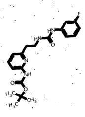 CC(C)(C)OC(=O)Nc1cccc(CCNC(=O)Nc2cccc(F)c2)n1